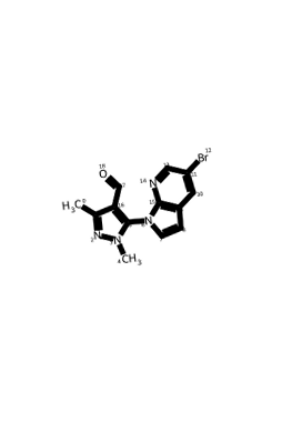 Cc1nn(C)c(-n2ccc3cc(Br)cnc32)c1C=O